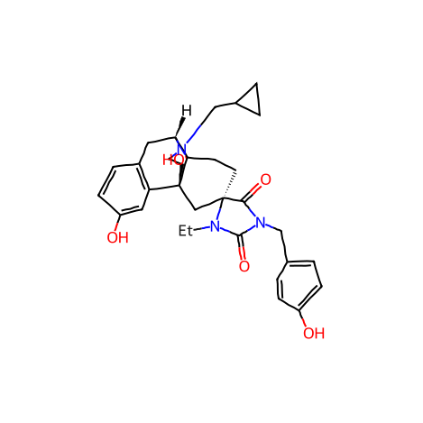 CCN1C(=O)N(Cc2ccc(O)cc2)C(=O)[C@@]12CC[C@@]1(O)[C@H]3Cc4ccc(O)cc4[C@@]1(CCN3CC1CC1)C2